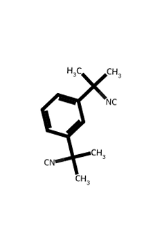 [C-]#[N+]C(C)(C)c1cccc(C(C)(C)[N+]#[C-])c1